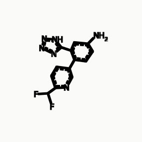 Nc1ccc(-c2ccc(C(F)F)nc2)c(-c2nnn[nH]2)c1